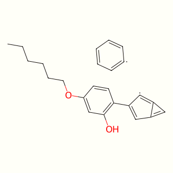 CCCCCCOc1ccc(-c2[c]c3cc-3c2)c(O)c1.[c]1ccccc1